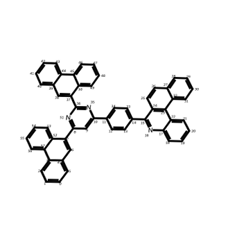 c1ccc2c(c1)cc(-c1cc(-c3ccc(-c4nc5ccccc5c5c4ccc4ccccc45)cc3)nc(-c3cc4ccccc4c4ccccc34)n1)c1ccccc12